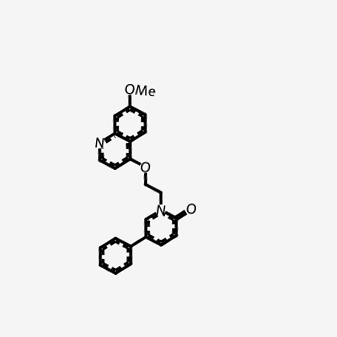 COc1ccc2c(OCCn3cc(-c4ccccc4)ccc3=O)ccnc2c1